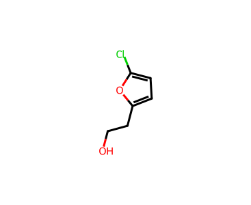 OCCc1ccc(Cl)o1